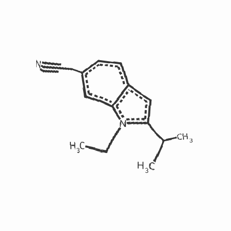 CCn1c(C(C)C)cc2ccc(C#N)cc21